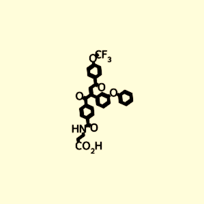 O=C(O)CCNC(=O)c1ccc(C(=O)C(=CC(=O)c2ccc(OC(F)(F)F)cc2)c2cccc(Oc3ccccc3)c2)cc1